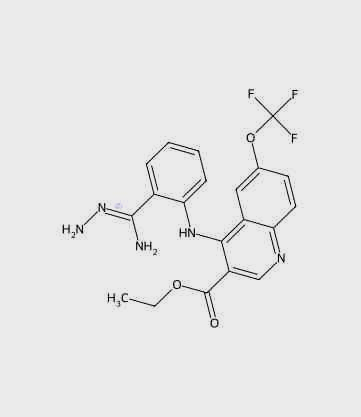 CCOC(=O)c1cnc2ccc(OC(F)(F)F)cc2c1Nc1ccccc1/C(N)=N/N